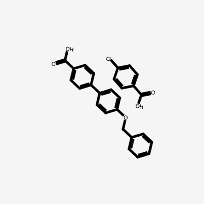 O=C(O)c1ccc(-c2ccc(OCc3ccccc3)cc2)cc1.O=C(O)c1ccc(Cl)cc1